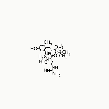 Cc1cc(O)cc(C)c1C[C@H](NC(=O)[C@@H](CCNC(=N)N)N(C)C)C(=O)OC(C)(C)C